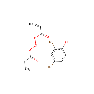 C=CC(=O)OOOC(=O)C=C.Oc1ccc(Br)cc1Br